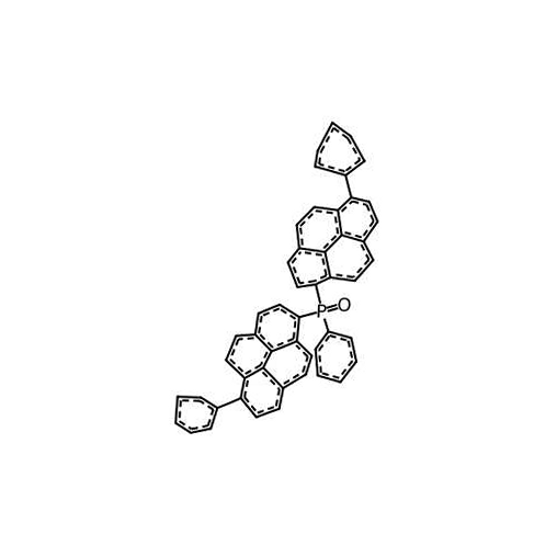 O=P(c1ccccc1)(c1ccc2ccc3c(-c4ccccc4)ccc4ccc1c2c43)c1ccc2ccc3c(-c4ccccc4)ccc4ccc1c2c43